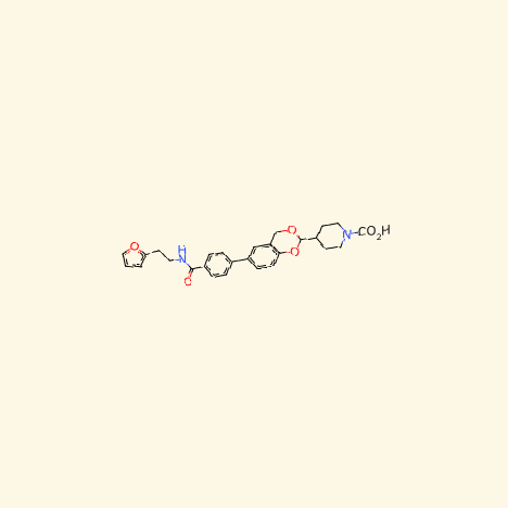 O=C(NCCc1ccco1)c1ccc(-c2ccc3c(c2)COC(C2CCN(C(=O)O)CC2)O3)cc1